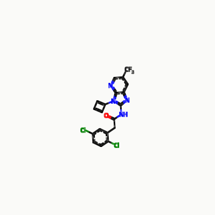 O=C(Cc1cc(Cl)ccc1Cl)Nc1nc2cc(C(F)(F)F)cnc2n1C1=CC=C1